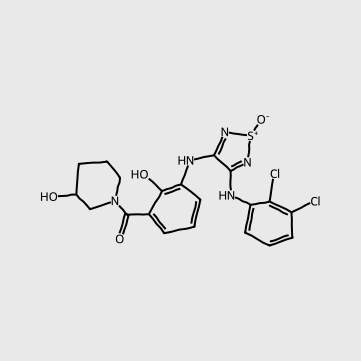 O=C(c1cccc(Nc2n[s+]([O-])nc2Nc2cccc(Cl)c2Cl)c1O)N1CCCC(O)C1